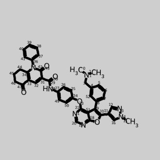 CN(C)Cc1cccc(-c2c(-c3cnn(C)c3)oc3ncnc(Oc4ccc(NC(=O)c5cc6c(n(-c7ccccc7)c5=O)CCCC6=O)cc4)c23)c1